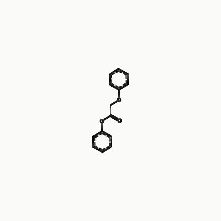 O=C(COc1ccccc1)Oc1ccccc1